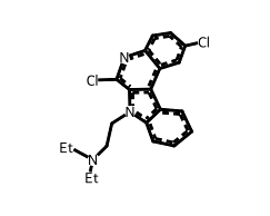 CCN(CC)CCn1c2ccccc2c2c3cc(Cl)ccc3nc(Cl)c21